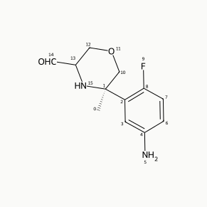 C[C@@]1(c2cc(N)ccc2F)COCC(C=O)N1